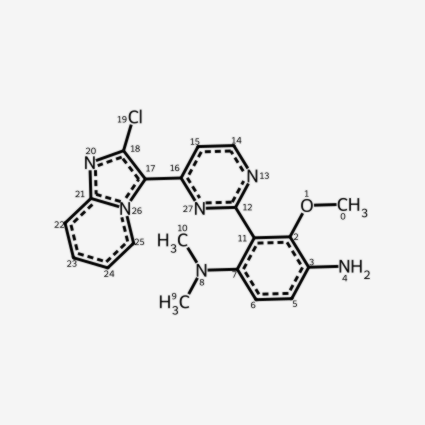 COc1c(N)ccc(N(C)C)c1-c1nccc(-c2c(Cl)nc3ccccn23)n1